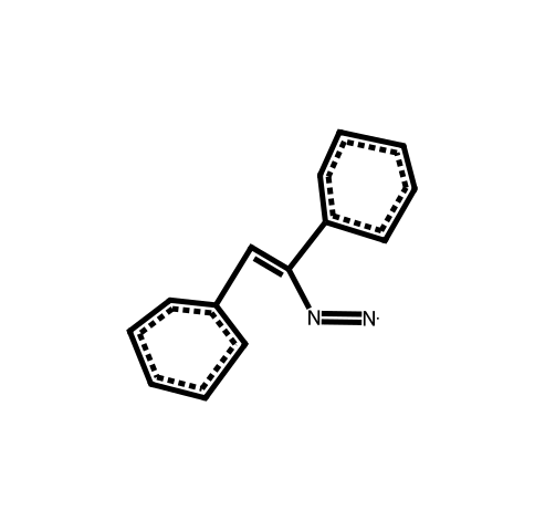 [N]=NC(=Cc1ccccc1)c1ccccc1